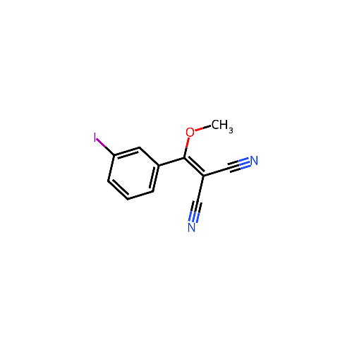 COC(=C(C#N)C#N)c1cccc(I)c1